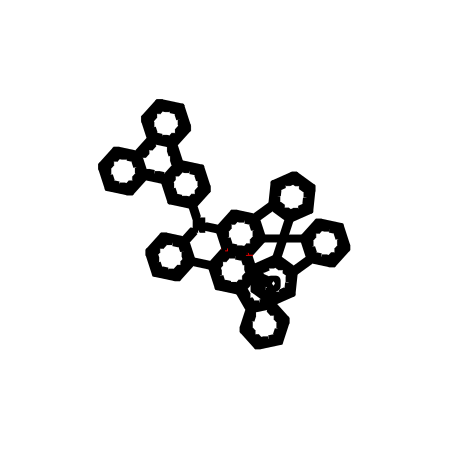 c1ccc(N(c2ccc3c(c2)-c2ccccc2C32c3ccccc3-c3ccccc32)c2ccc3c4ccccc4c4ccccc4c3c2)c(-c2ccc3oc4ccccc4c3c2)c1